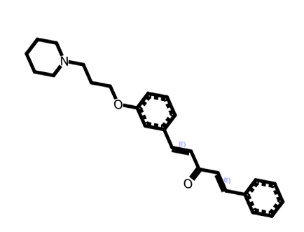 O=C(/C=C/c1ccccc1)/C=C/c1cccc(OCCCN2CCCCC2)c1